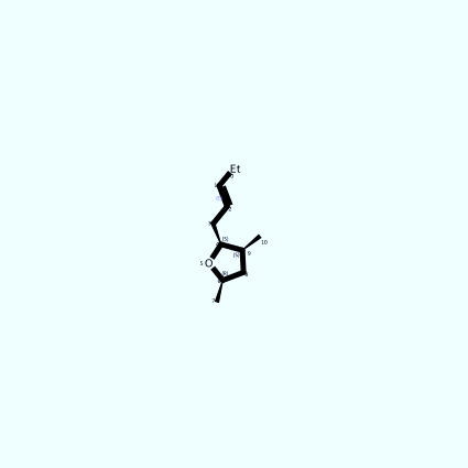 CC/C=C/C[C@@H]1O[C@H](C)C[C@@H]1C